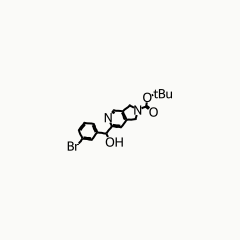 CC(C)(C)OC(=O)N1Cc2cnc(C(O)c3cccc(Br)c3)cc2C1